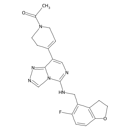 CC(=O)N1CC=C(c2cnc(NCc3c(F)ccc4c3CCO4)n3cnnc23)CC1